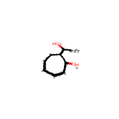 CCCC(O)C1CCCCCC1O